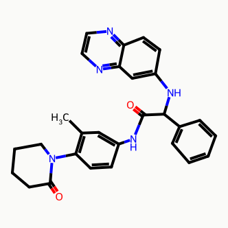 Cc1cc(NC(=O)C(Nc2ccc3nccnc3c2)c2ccccc2)ccc1N1CCCCC1=O